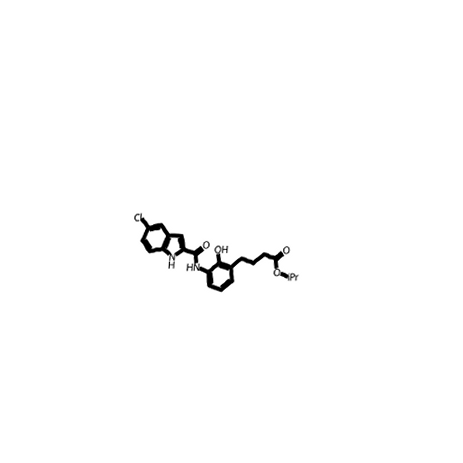 CC(C)OC(=O)CCCc1cccc(NC(=O)c2cc3cc(Cl)ccc3[nH]2)c1O